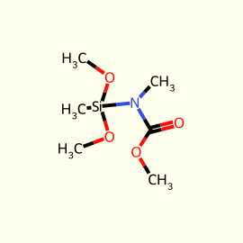 COC(=O)N(C)[Si](C)(OC)OC